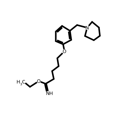 CCOC(=N)CCCCOc1cccc(CN2CCCCC2)c1